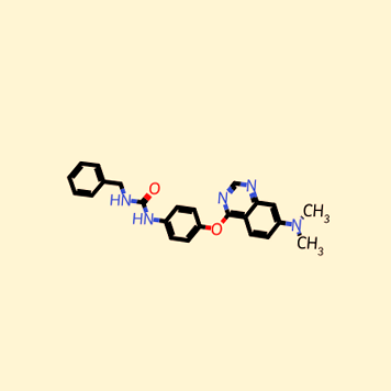 CN(C)c1ccc2c(Oc3ccc(NC(=O)NCc4ccccc4)cc3)ncnc2c1